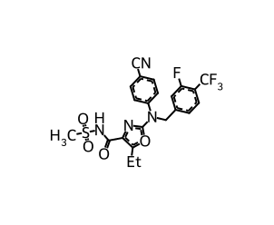 CCc1oc(N(Cc2ccc(C(F)(F)F)c(F)c2)c2ccc(C#N)cc2)nc1C(=O)NS(C)(=O)=O